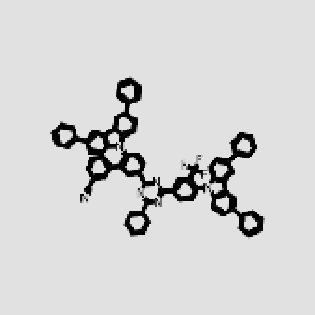 N#Cc1cccc(-c2cc(-c3nc(-c4ccccc4)nc(-c4ccc(-n5c6ccc(-c7ccccc7)cc6c6cc(-c7ccccc7)ccc65)c(C(F)(F)F)c4)n3)ccc2-n2c3ccc(-c4ccccc4)cc3c3cc(-c4ccccc4)ccc32)c1